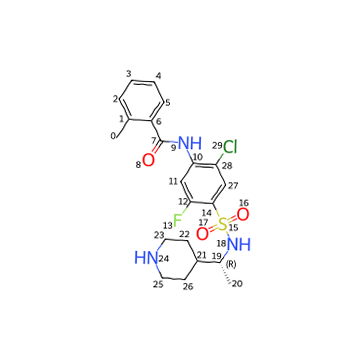 Cc1ccccc1C(=O)Nc1cc(F)c(S(=O)(=O)N[C@H](C)C2CCNCC2)cc1Cl